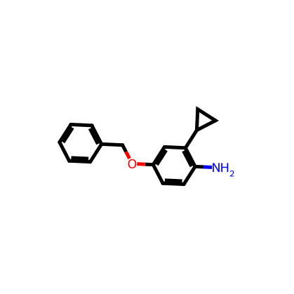 Nc1ccc(OCc2ccccc2)cc1C1CC1